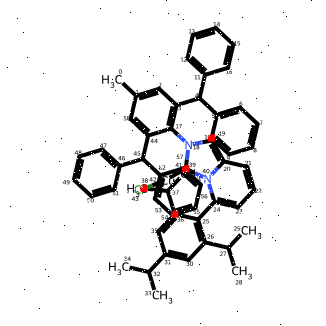 Cc1cc(C(c2ccccc2)c2ccccc2)c(N2C=C3C=CC=C(c4c(C(C)C)cc(C(C)C)cc4C(C)C)N3[CH]2[Cu][Cl])c(C(c2ccccc2)c2ccccc2)c1